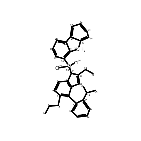 CCCc1ccc2c(c1-c1ccccc1C(C)C)C=C(CC)[CH]2[Zr]([Cl])([Cl])[c]1cccc2c1[SiH2]c1ccccc1-2